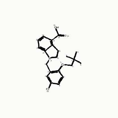 CC(C)(C)COc1ccc(Cl)cc1CN1CCc2c(C(=O)O)cccc21